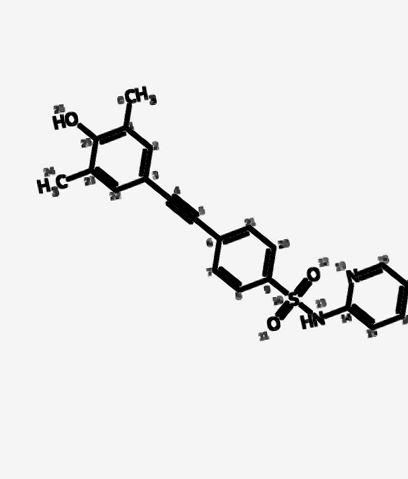 Cc1cc(C#Cc2ccc(S(=O)(=O)Nc3ccccn3)cc2)cc(C)c1O